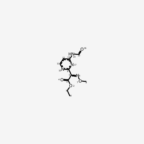 CCOC(=O)C(=NOC)c1nccc(NC=O)n1